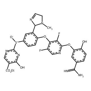 CCOC(=O)c1cnc([S+]([O-])c2ccc(Oc3c(F)cnc(Oc4cc(C(=N)N)ccc4O)c3F)c(C3N=CCN3C)c2)nc1O